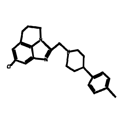 Cc1ccc(C2CCN(Cc3nc4cc(Cl)cc5c4n3CCC5)CC2)cc1